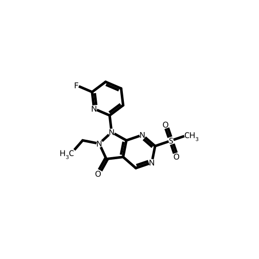 CCn1c(=O)c2cnc(S(C)(=O)=O)nc2n1-c1cccc(F)n1